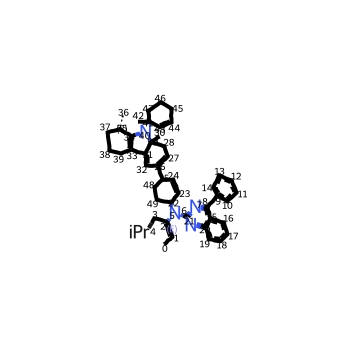 C/C=C(\CC(C)C)N(c1nc(-c2ccccc2)c2ccccc2n1)C1C=CC(C2=CCC3(C)C(=C2)C2=C([C@@H](C)CCC2)N3C2(C)C=CCCC2)CC1